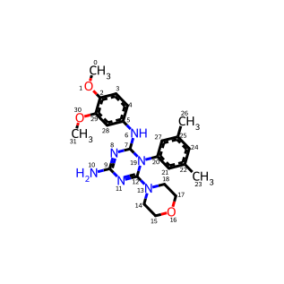 COc1ccc(NC2N=C(N)N=C(N3CCOCC3)N2c2cc(C)cc(C)c2)cc1OC